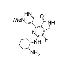 CN/C=C(\C=N)c1nc(NC2CCCC[C@@H]2N)c(F)c2c1C(=O)NC2